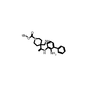 C=C(Nc1cccc(-c2ccccc2)c1N)C1(CN)CCN(C(=O)OC(C)(C)C)CC1